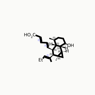 CC/C=C(\C)[C@H]1[C@@H](/C=C/C=C/C(=O)O)[C@H]2[C@@H]([C@H]3C[C@]31C)[C@@H](O)CC[C@@H]2C